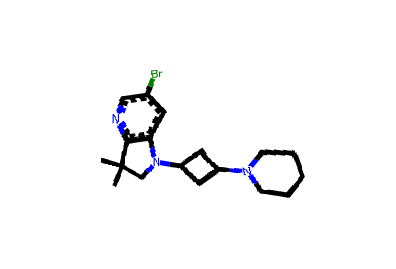 CC1(C)CN(C2CC(N3CCCCC3)C2)c2cc(Br)cnc21